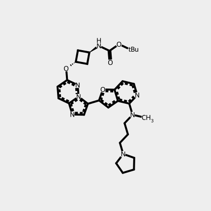 CN(CCCN1CCCC1)c1nccc2oc(-c3cnc4ccc(O[C@H]5C[C@H](NC(=O)OC(C)(C)C)C5)nn34)cc12